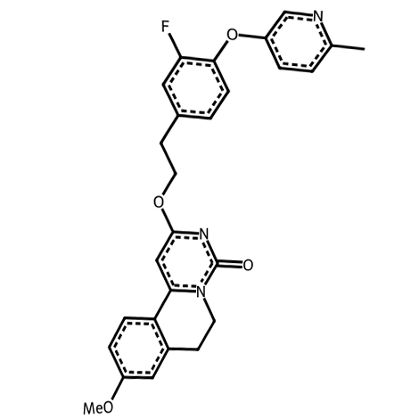 COc1ccc2c(c1)CCn1c-2cc(OCCc2ccc(Oc3ccc(C)nc3)c(F)c2)nc1=O